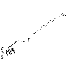 OCCCCCCCCCCCCCCCCCCCNC(=S)S